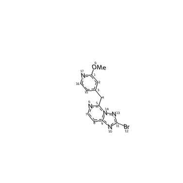 COc1cc(Cc2nccc3nc(Br)nn23)ccn1